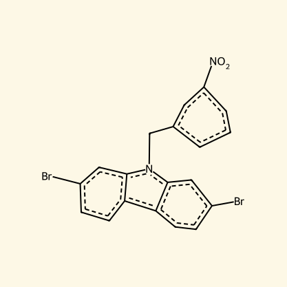 O=[N+]([O-])c1cccc(Cn2c3cc(Br)ccc3c3ccc(Br)cc32)c1